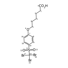 O=C(O)CCCCCOc1ccc(S(=O)(=O)C(Br)(Br)Br)cc1